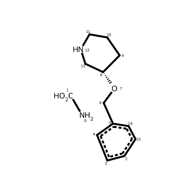 NC(=O)O.c1ccc(CO[C@H]2CCCNC2)cc1